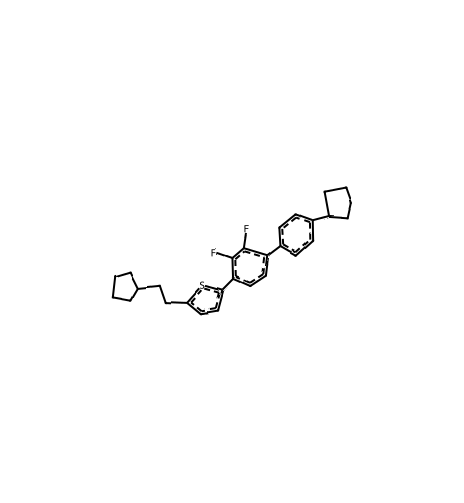 Fc1c(-c2ccc(C3CCCC3)cc2)ccc(-c2ccc(CCC3CCCC3)s2)c1F